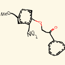 COc1ccc(OCC(=O)c2ccccc2)c([N+](=O)[O-])c1